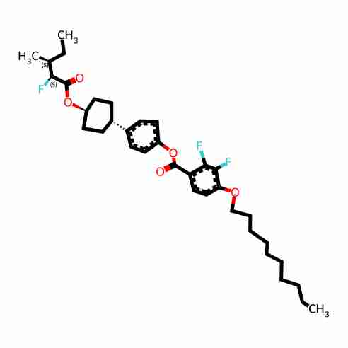 CCCCCCCCCCOc1ccc(C(=O)Oc2ccc([C@H]3CC[C@H](OC(=O)[C@@H](F)[C@@H](C)CC)CC3)cc2)c(F)c1F